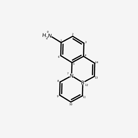 Nc1ccc2c(c1)N1C=CC=CB1C=C2